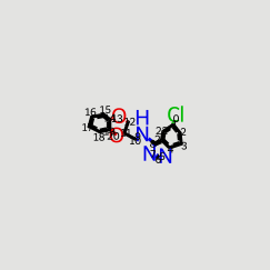 Clc1ccc2ncnc(NCC3COc4ccccc4O3)c2c1